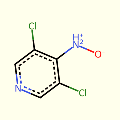 [O-][NH2+]c1c(Cl)cncc1Cl